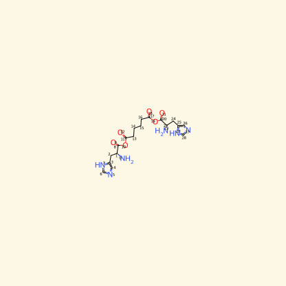 N[C@@H](Cc1cnc[nH]1)C(=O)OC(=O)CCCCC(=O)OC(=O)[C@@H](N)Cc1cnc[nH]1